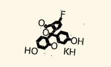 O=C1OC2(c3ccc(O)cc3Oc3cc(O)ccc32)c2ccc(F)cc21.[KH]